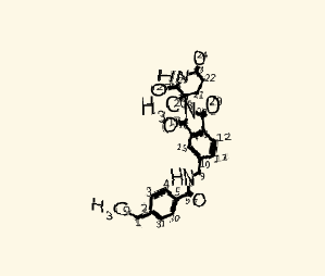 CCc1ccc(C(=O)NCc2ccc3c(c2)C(=O)N(C2(C)CCC(=O)NC2=O)C3=O)cc1